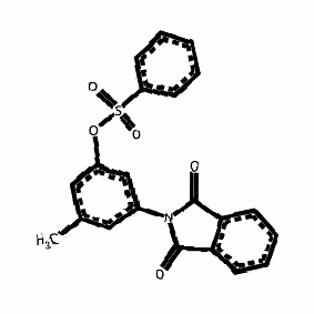 Cc1cc(OS(=O)(=O)c2ccccc2)cc(N2C(=O)c3ccccc3C2=O)c1